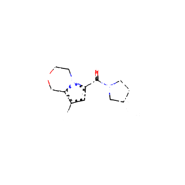 CC(C)CO[C@H]1CCN(C(=O)c2cc(C(=O)O)c3n2CCOC3)C1